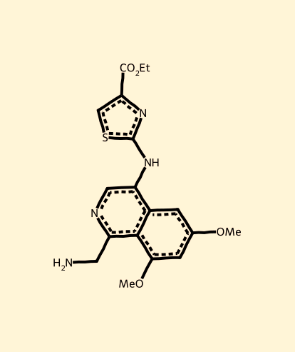 CCOC(=O)c1csc(Nc2cnc(CN)c3c(OC)cc(OC)cc23)n1